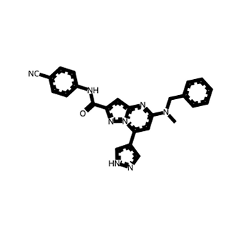 CN(Cc1ccccc1)c1cc(-c2cn[nH]c2)n2nc(C(=O)Nc3ccc(C#N)cc3)cc2n1